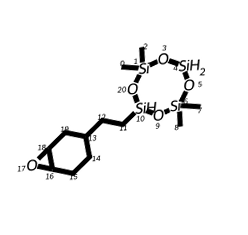 C[Si]1(C)O[SiH2]O[Si](C)(C)O[SiH](CCC2CCC3OC3C2)O1